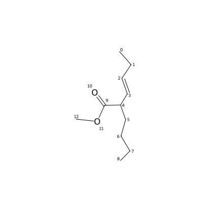 CCC=CC(CCCC)C(=O)OC